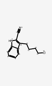 N#Cc1[nH]c2ccccc2c1CCCCCl